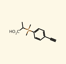 C#Cc1ccc(S(C)(C)C(C)C(=O)O)cc1